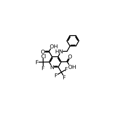 O=C(O)c1c(C(F)(F)F)nc(C(F)(F)Cl)c(C(=O)O)c1NCc1ccccc1